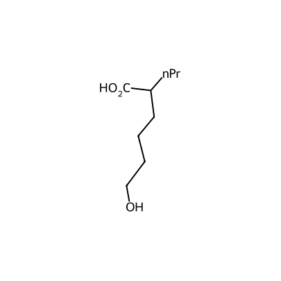 CCCC(CCCCO)C(=O)O